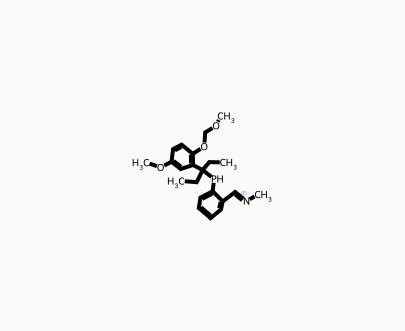 CCC(CC)(Pc1ccccc1/C=N/C)c1cc(OC)ccc1OCOC